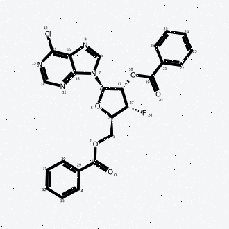 O=C(OC[C@H]1O[C@@H](n2cnc3c(Cl)ncnc32)[C@H](OC(=O)c2ccccc2)[C@@H]1F)c1ccccc1